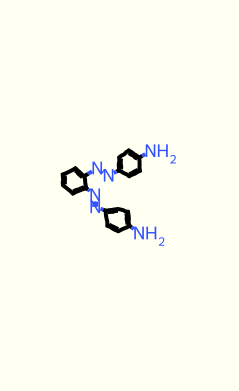 Nc1ccc(N=Nc2ccccc2N=Nc2ccc(N)cc2)cc1